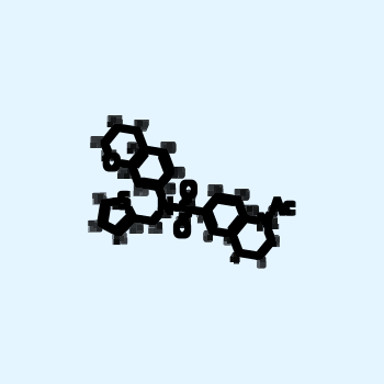 CC(=O)N1CCCc2cc(S(=O)(=O)N(Cc3cccs3)c3ccc4c(c3)OCCC4)ccc21